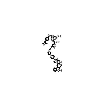 C=C1CN=C2NC[C@H]3CN(C4CCN(C5CCN(CCOc6cc([C@H](C(=O)N7C[C@H](O)C[C@H]7C(=O)N[C@@H](C)c7ccc(-c8scnc8C)cc7)C(C)C)oc6C)C5)CC4)CCN3C2=CC1c1ccccc1O